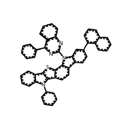 c1ccc(-c2nc(-n3c4cc(-c5cccc6ccccc56)ccc4c4ccc5c(sc6c7ccccc7n(-c7ccccc7)c56)c43)nc3ccccc23)cc1